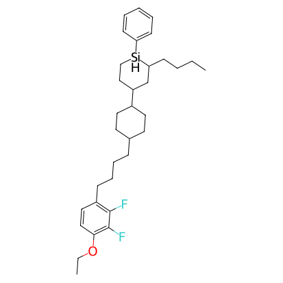 CCCCC1CC(C2CCC(CCCCc3ccc(OCC)c(F)c3F)CC2)CC[SiH]1c1ccccc1